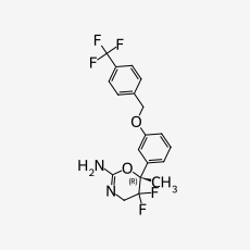 C[C@]1(c2cccc(OCc3ccc(C(F)(F)F)cc3)c2)OC(N)=NCC1(F)F